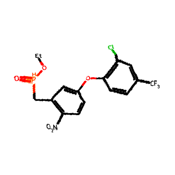 CCO[PH](=O)Cc1cc(Oc2ccc(C(F)(F)F)cc2Cl)ccc1[N+](=O)[O-]